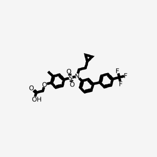 Cc1cc(S(=O)(=O)N(CCC2CC2)c2cccc(-c3ccc(C(F)(F)F)cc3)c2)ccc1OCC(=O)O